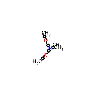 C=Cc1ccc(COCCc2ccc(N(c3ccc(CCOCc4ccc(C=C)cc4)cc3)c3ccc(C)c(C)c3)cc2)cc1